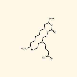 CCCCCCC(CCCCCCCCC(=O)O)OC(=O)OCCN(CCO)CCCN(CC)CC